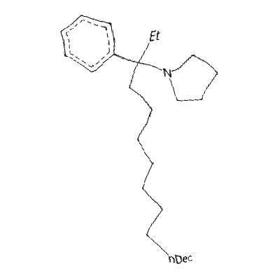 CCCCCCCCCCCCCCCCCC(CC)(c1ccccc1)N1CCCC1